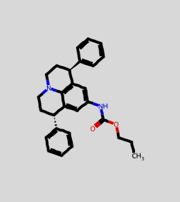 CCCOC(=O)Nc1cc2c3c(c1)[C@H](c1ccccc1)CCN3CC[C@H]2c1ccccc1